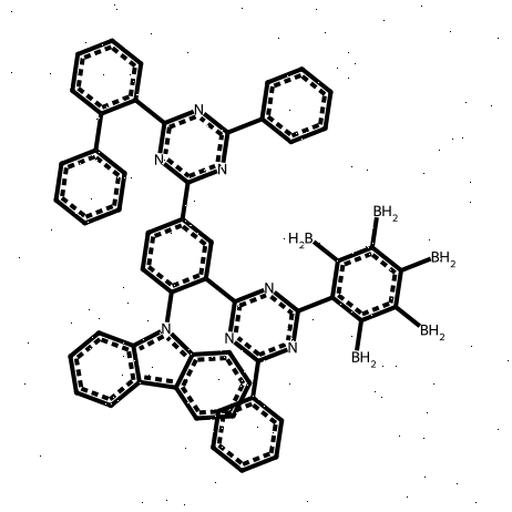 Bc1c(B)c(B)c(-c2nc(-c3ccccc3)nc(-c3cc(-c4nc(-c5ccccc5)nc(-c5ccccc5-c5ccccc5)n4)ccc3-n3c4ccccc4c4ccccc43)n2)c(B)c1B